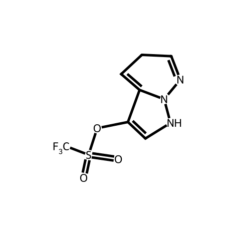 O=S(=O)(OC1=CNN2N=CCC=C12)C(F)(F)F